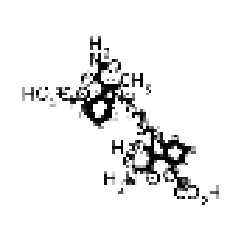 Cc1c(C(=O)C(N)=O)c2c(OCC(=O)O)cccc2n1CSCSCn1c(C)c(C(=O)C(N)=O)c2c(OCC(=O)O)cccc21